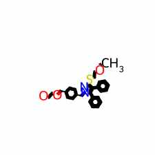 CCOCCSc1nn(C[C@H]2CC[C@@H](COCC=O)CC2)c(-c2ccccc2)c1-c1ccccc1